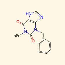 CCCn1c(=O)c2[nH]cnc2n(Cc2ccccc2)c1=O